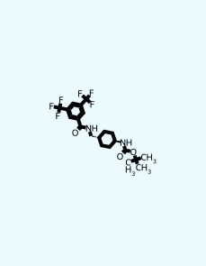 CC(C)(C)OC(=O)N[C@H]1CC[C@H](CNC(=O)c2cc(C(F)(F)F)cc(C(F)(F)F)c2)CC1